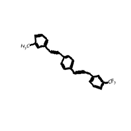 Cc1cccc(/C=C/c2ccc(/C=C/c3cccc(C(F)(F)F)c3)cc2)c1